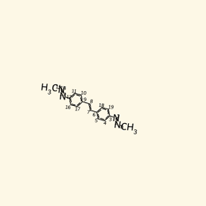 CN=Nc1ccc(C=Cc2ccc(N=NC)cc2)cc1